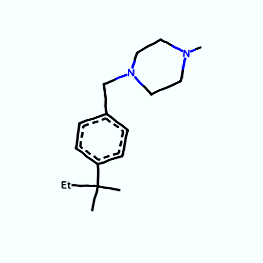 CCC(C)(C)c1ccc(CN2CCN(C)CC2)cc1